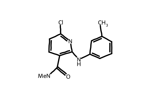 CNC(=O)c1ccc(Cl)nc1Nc1cccc(C)c1